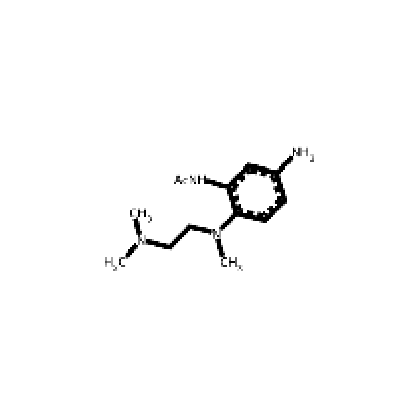 CC(=O)Nc1cc(N)ccc1N(C)CCN(C)C